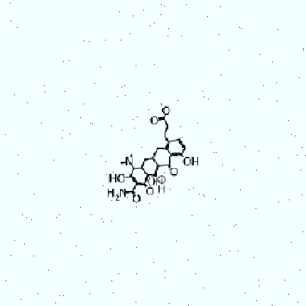 COC(=O)CCc1ccc(O)c2c1CC1CC3C(N(C)C)C(O)=C(C(N)=O)C(=O)C3(O)C(O)=C1C2=O